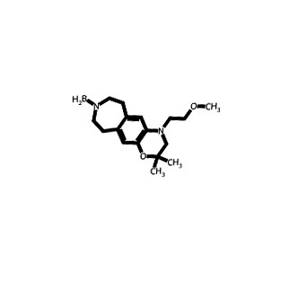 BN1CCc2cc3c(cc2CC1)N(CCOC)CC(C)(C)O3